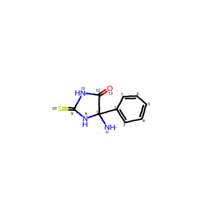 [NH]C1(c2ccccc2)NC(=S)NC1=O